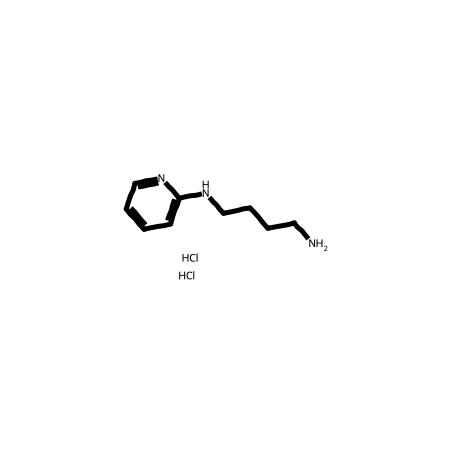 Cl.Cl.NCCCCNc1ccccn1